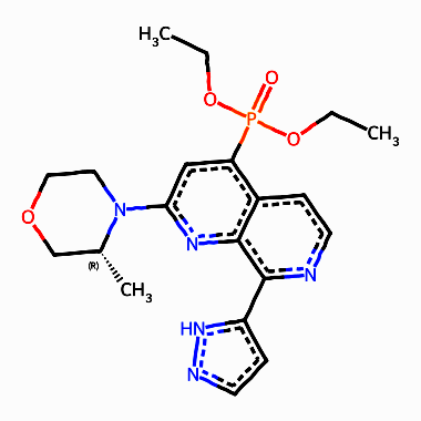 CCOP(=O)(OCC)c1cc(N2CCOC[C@H]2C)nc2c(-c3ccn[nH]3)nccc12